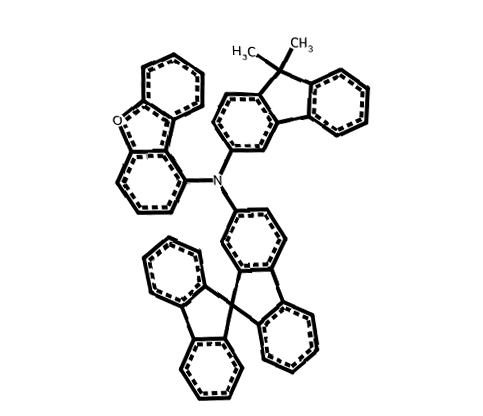 CC1(C)c2ccccc2-c2cc(N(c3ccc4c(c3)C3(c5ccccc5-c5ccccc53)c3ccccc3-4)c3cccc4oc5ccccc5c34)ccc21